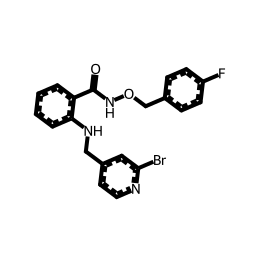 O=C(NOCc1ccc(F)cc1)c1ccccc1NCc1ccnc(Br)c1